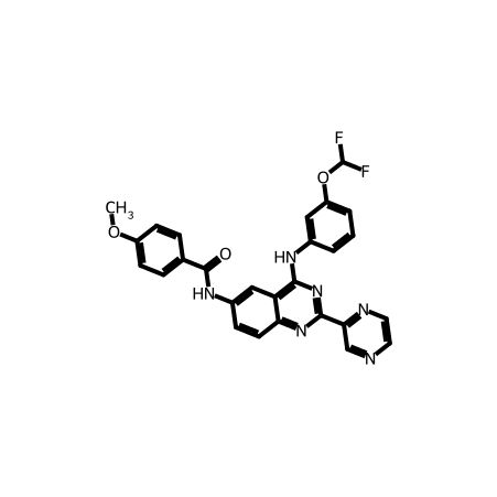 COc1ccc(C(=O)Nc2ccc3nc(-c4cnccn4)nc(Nc4cccc(OC(F)F)c4)c3c2)cc1